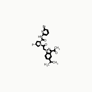 CC(=O)c1nn(CC(=O)N2C[C@H](F)C[C@H]2C(=O)Nc2cccc(Br)n2)c2ccc(C(C)C)cc12